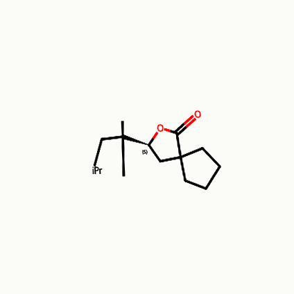 CC(C)CC(C)(C)[C@@H]1CC2(CCCC2)C(=O)O1